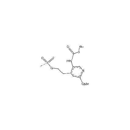 COc1cc(CCOS(C)(=O)=O)c(NC(=O)OC(C)(C)C)cn1